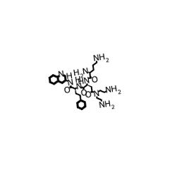 NCCC[C@H](N)C(=O)N[C@@H](CC(=O)N(CCN)CCN)C(=O)N[C@@H](CCc1ccccc1)C(=O)Nc1cnc2ccccc2c1